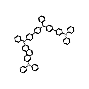 c1ccc(N(c2ccccc2)c2ccc(-c3ccc(N(c4ccccc4)c4ccc(-c5ccc(N(c6ccccc6)c6ccc7c(ccc8cc(N(c9ccccc9)c9ccccc9)ccc87)c6)cc5)cc4)cc3)cc2)cc1